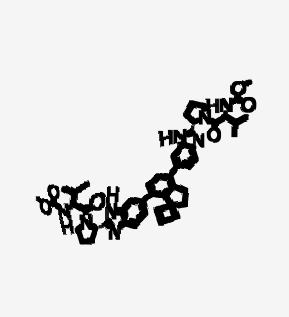 COC(=O)N[C@H](C(=O)N1CCC[C@H]1c1nc2ccc(-c3ccc(-c4ccc5nc([C@@H]6CCCN6C(=O)[C@@H](NC(=O)OC)C(C)C)[nH]c5c4)c4c3CCC43CCC3)cc2[nH]1)C(C)C